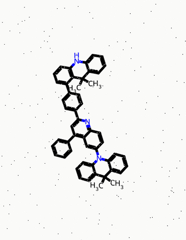 CC1(C)c2ccccc2N(c2ccc3nc(-c4ccc(-c5cccc6c5C(C)(C)c5ccccc5N6)cc4)cc(-c4ccccc4)c3c2)c2ccccc21